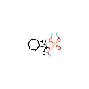 C[Si](C)(OP(=O)(OF)OF)C1CCCCC1